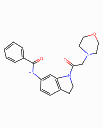 O=C(Nc1ccc2c(c1)N(C(=O)CN1CCOCC1)CC2)c1ccccc1